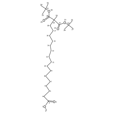 COC(=O)CCCCCCCCCCCCCCCC(C)(C(=O)OC(C)(C)C)C(=O)OC(C)(C)C